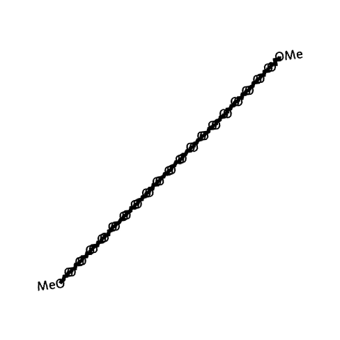 COCCCCOOCCCCOOCCCCOOCCCCOOCCCCOOCCCCOOCCCCOOCCCCOOCCCCOOCCCCOOCCCCOOCCCCOOCCCCOOCCCCOOCCCCOOCCCCOOCCCCOOCCCCOOCCCCOOCCCCOC